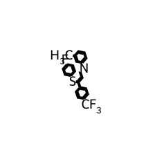 Cc1cccc(N=CC=C(Sc2ccc(F)cc2)c2ccc(C(F)(F)F)cc2)c1